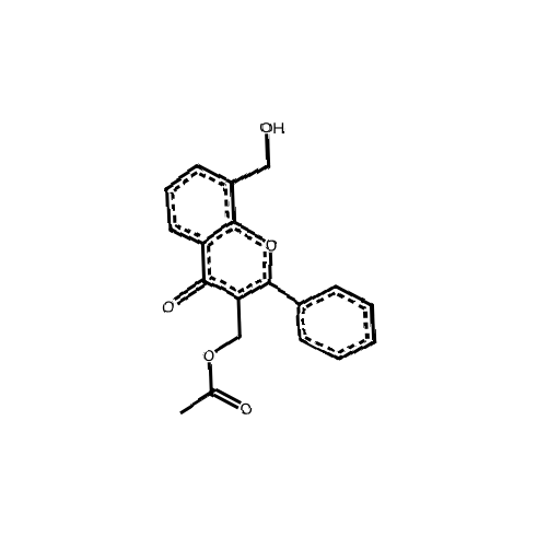 CC(=O)OCc1c(-c2ccccc2)oc2c(CO)cccc2c1=O